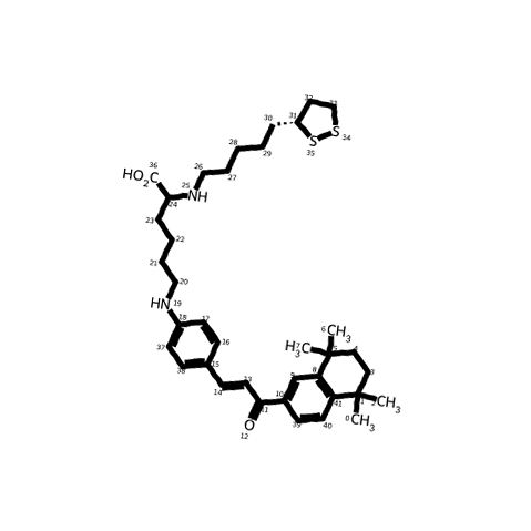 CC1(C)CCC(C)(C)c2cc(C(=O)C=Cc3ccc(NCCCCC(NCCCCC[C@@H]4CCSS4)C(=O)O)cc3)ccc21